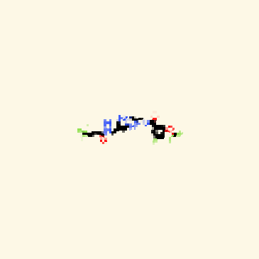 O=C(CCC(F)(F)F)NCc1cnn2cc(CNC(=O)c3cc(F)cc(OC(F)F)c3)nc2c1